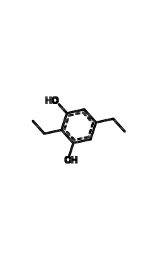 CCc1cc(O)c(CC)c(O)c1